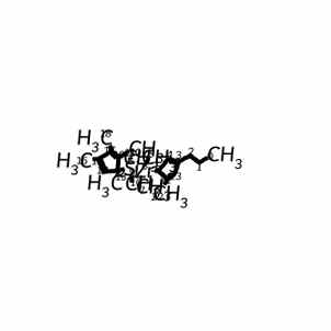 CCCC1=C[CH]([Zr]([CH3])([CH3])[Si](C)(C)C2(C)C=C(C)C(C)=C2C)C(C)=C1